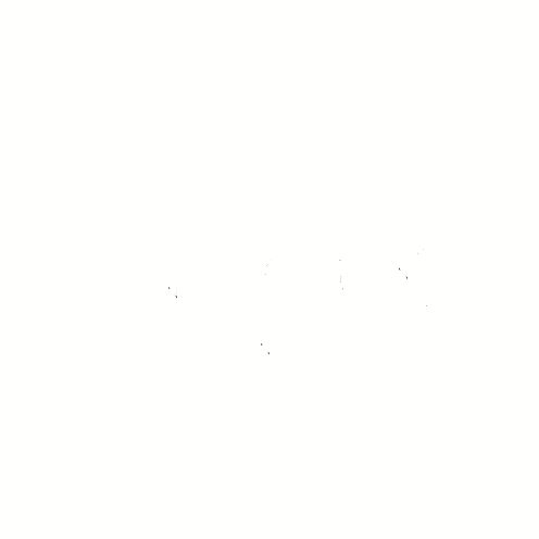 c1ccc(-c2cc(-c3ccccc3)cc(-n3c4ccccc4c4ccc5c6ccccc6n(-c6cccc(-n7c8ccccc8c8ccccc87)c6)c5c43)c2)cc1